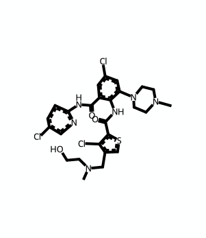 CN1CCN(c2cc(Cl)cc(C(=O)Nc3ccc(Cl)cn3)c2NC(=O)c2scc(CN(C)CCO)c2Cl)CC1